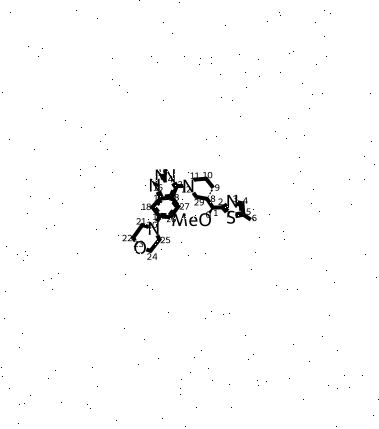 CO[C@H](c1ncc(C)s1)[C@H]1CCCN(c2nnnc3cc(N4CCOCC4)ccc23)C1